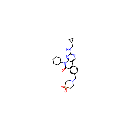 O=c1c2cc(CN3CCS(=O)(=O)CC3)ccc2c2cnc(NCC3CC3)nc2n1C1CCCCC1